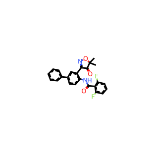 CC1(C)ON=C(c2cc(-c3ccccc3)ccc2NC(=O)c2c(F)cccc2F)C1=O